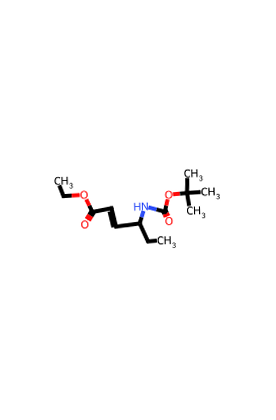 CCOC(=O)/C=C/C(CC)NC(=O)OC(C)(C)C